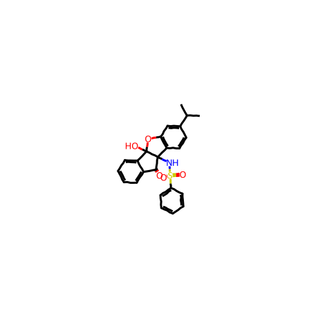 CC(C)c1ccc2c(c1)OC1(O)c3ccccc3C(=O)C21NS(=O)(=O)c1ccccc1